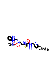 COc1ccc(CNC(=O)c2csc(CCN(Cc3nc4ccccc4[nH]3)C(=O)OC(C)(C)C)n2)nc1